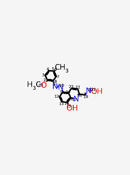 COc1ccc(C)cc1/N=N/c1ccc(O)c2nc(/C=N/O)ccc12